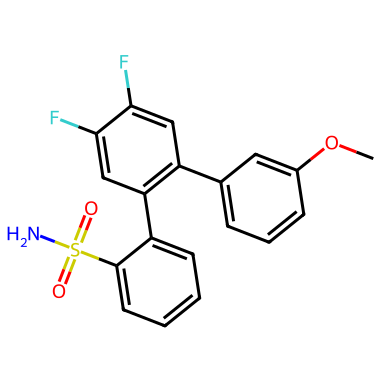 COc1cccc(-c2cc(F)c(F)cc2-c2ccccc2S(N)(=O)=O)c1